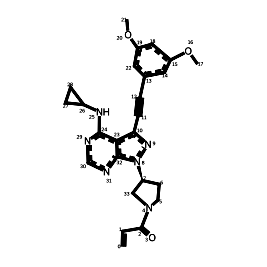 C=CC(=O)N1CC[C@H](n2nc(C#Cc3cc(OC)cc(OC)c3)c3c(NC4CC4)ncnc32)C1